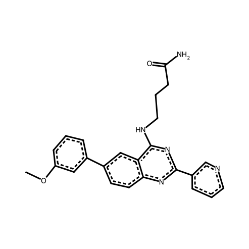 COc1cccc(-c2ccc3nc(-c4cccnc4)nc(NCCCC(N)=O)c3c2)c1